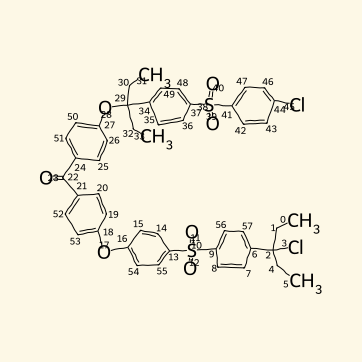 CCC(Cl)(CC)c1ccc(S(=O)(=O)c2ccc(Oc3ccc(C(=O)c4ccc(OC(CC)(CC)c5ccc(S(=O)(=O)c6ccc(Cl)cc6)cc5)cc4)cc3)cc2)cc1